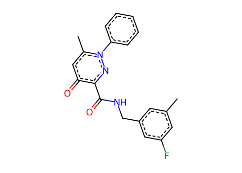 Cc1cc(F)cc(CNC(=O)c2nn(-c3ccccc3)c(C)cc2=O)c1